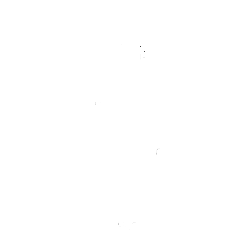 O=C(O)CCc1ccc(OCc2cccc3c2NCCC3)cc1F